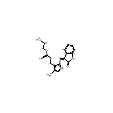 Cc1c[nH]c(/C=C2\C(=O)Nc3ccccc32)c1CCC(=O)OCCO